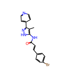 Cc1c(-c2ccncc2)n[nH]c1NC(=O)C=Cc1ccc(Br)cc1